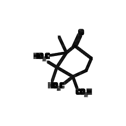 CC1(C(=O)O)C(=O)CCC(C(=O)O)(C(=O)O)C1(C)C